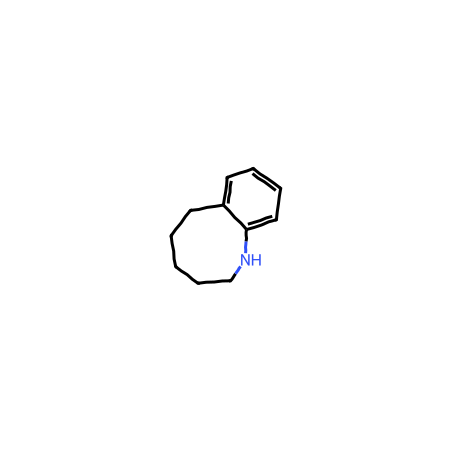 c1ccc2c(c1)CCCCCN2